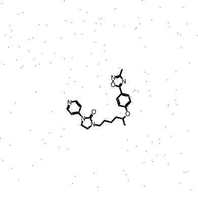 Cc1noc(-c2ccc(OC(C)CCCCN3CCN(c4ccncc4)C3=O)cc2)n1